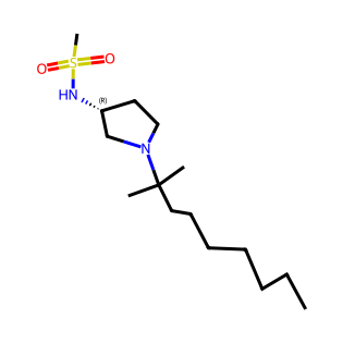 CCCCCCCC(C)(C)N1CC[C@@H](NS(C)(=O)=O)C1